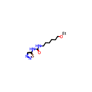 CCOCCCCCCNC(=O)Nc1cnns1